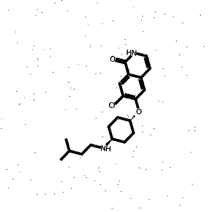 CC(C)CCN[C@H]1CC[C@H](Oc2cc3cc[nH]c(=O)c3cc2Cl)CC1